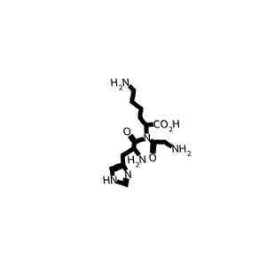 NCCCCC(C(=O)O)N(C(=O)CN)C(=O)C(N)Cc1c[nH]cn1